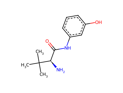 CC(C)(C)[C@H](N)C(=O)Nc1cccc(O)c1